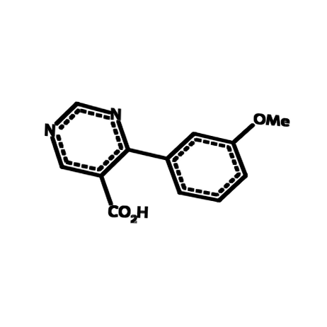 COc1cccc(-c2ncncc2C(=O)O)c1